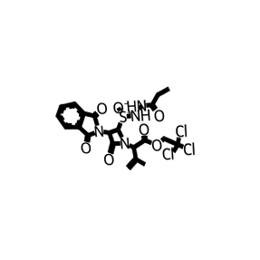 C=C(C)C(C(=O)OCC(Cl)(Cl)Cl)N1C(=O)C(N2C(=O)c3ccccc3C2=O)C1[S+]([O-])NNC(=O)CC